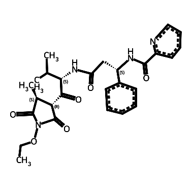 CCON1C(=O)[C@@H](C(=O)[C@@H](NC(=O)C[C@H](NC(=O)c2ccccn2)c2ccccc2)C(C)C)[C@H](C)C1=O